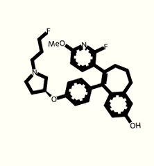 COc1ccc(C2=C(c3ccc(O[C@H]4CCN(CCCF)C4)cc3)c3ccc(O)cc3CCC2)c(F)n1